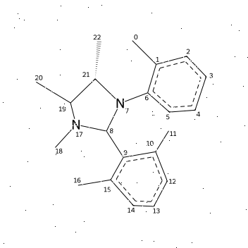 Cc1ccccc1N1C(c2c(C)cccc2C)N(C)C(C)[C@@H]1C